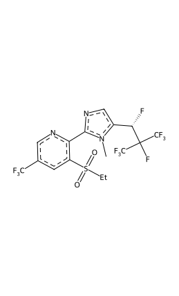 CCS(=O)(=O)c1cc(C(F)(F)F)cnc1-c1ncc([C@H](F)C(F)(C(F)(F)F)C(F)(F)F)n1C